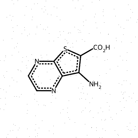 Nc1c(C(=O)O)sc2nccnc12